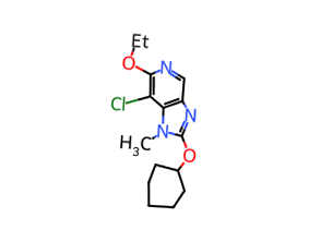 CCOc1ncc2nc(OC3CCCCC3)n(C)c2c1Cl